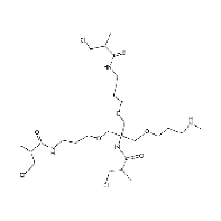 CNCCCOCC(COCCCNC(=O)C(C)CCl)(COCCCNC(=O)C(C)CCl)NC(=O)C(C)CCl